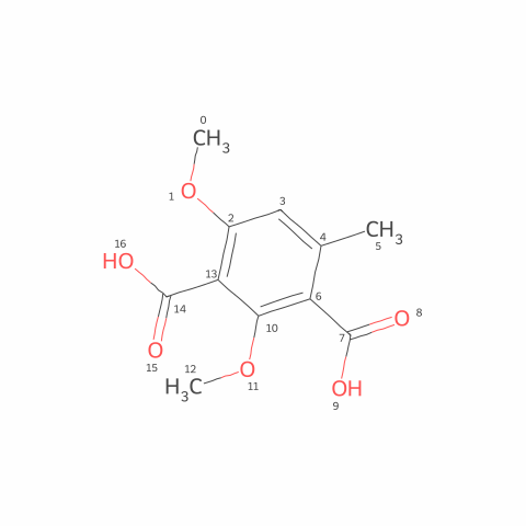 COc1cc(C)c(C(=O)O)c(OC)c1C(=O)O